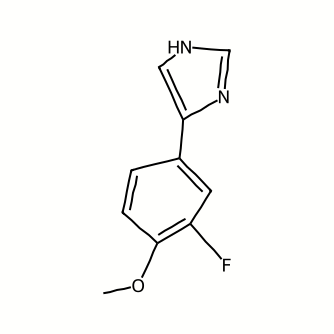 COc1ccc(-c2c[nH]cn2)cc1F